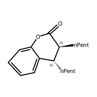 CCCCC[C@@H]1C(=O)Oc2ccccc2[C@H]1CCCCC